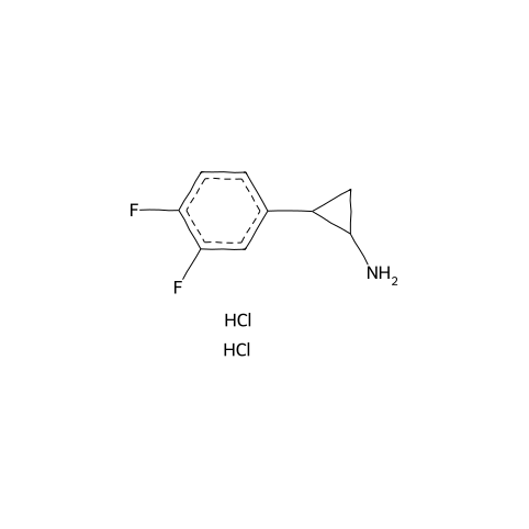 Cl.Cl.NC1CC1c1ccc(F)c(F)c1